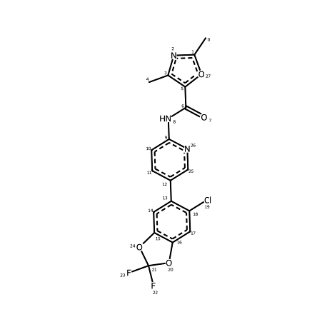 Cc1nc(C)c(C(=O)Nc2ccc(-c3cc4c(cc3Cl)OC(F)(F)O4)cn2)o1